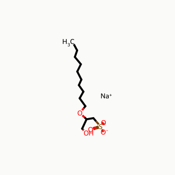 CCCCCCCCCCOC(CO)CS(=O)(=O)[O-].[Na+]